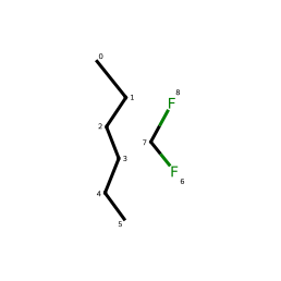 CCCCCC.FCF